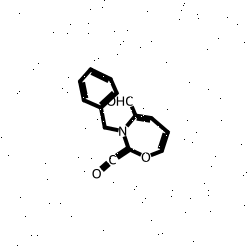 O=C=C1OC=CC=C(C=O)N1Cc1ccccc1